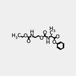 CCOC(=O)NCCOC(=O)N[C@@H](C)C(=O)Oc1ccccc1